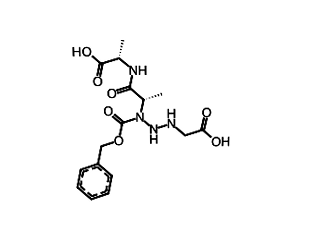 C[C@H](NC(=O)[C@H](C)N(NNCC(=O)O)C(=O)OCc1ccccc1)C(=O)O